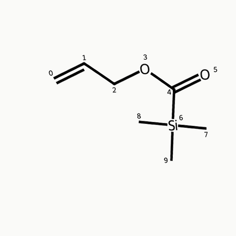 C=CCOC(=O)[Si](C)(C)C